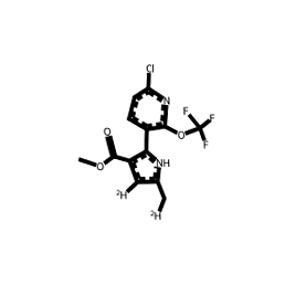 [2H]Cc1[nH]c(-c2ccc(Cl)nc2OC(F)(F)F)c(C(=O)OC)c1[2H]